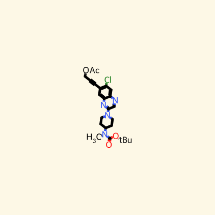 CC(=O)OCC#Cc1cc2nc(N3CCC(N(C)C(=O)OC(C)(C)C)CC3)cnc2cc1Cl